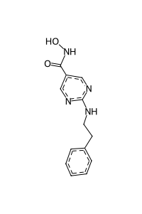 O=C(NO)c1cnc(NCCc2ccccc2)nc1